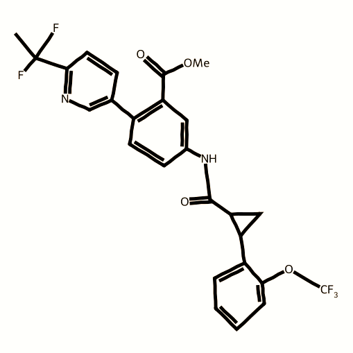 COC(=O)c1cc(NC(=O)C2CC2c2ccccc2OC(F)(F)F)ccc1-c1ccc(C(C)(F)F)nc1